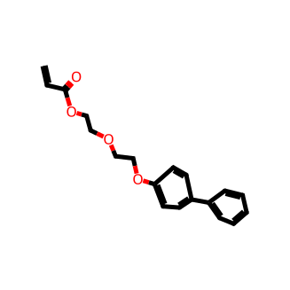 C=CC(=O)OCCOCCOc1ccc(-c2ccccc2)cc1